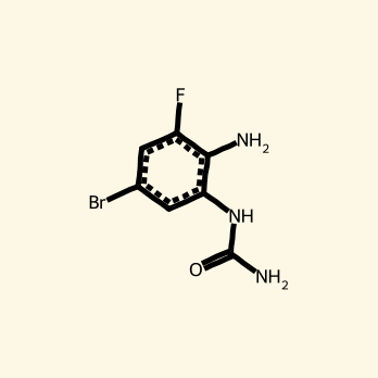 NC(=O)Nc1cc(Br)cc(F)c1N